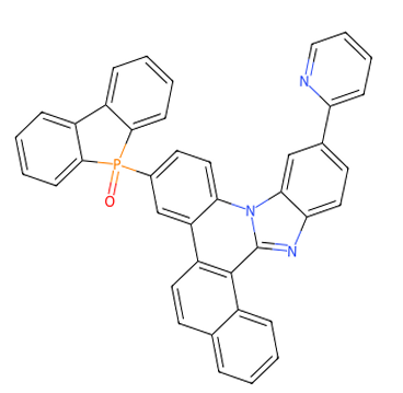 O=P1(c2ccc3c(c2)c2ccc4ccccc4c2c2nc4ccc(-c5ccccn5)cc4n32)c2ccccc2-c2ccccc21